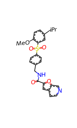 COc1ccc(C(C)C)cc1S(=O)(=O)c1ccc(CNC(=O)c2cc3ccncc3o2)cc1